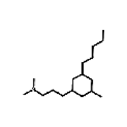 CCCCCC1CC(C)CC(CCCN(C)C)C1